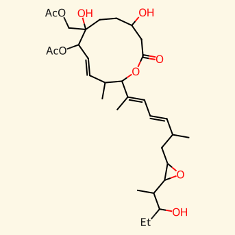 CCC(O)C(C)C1OC1CC(C)/C=C/C=C(\C)C1OC(=O)CC(O)CCC(O)(COC(C)=O)C(OC(C)=O)/C=C/C1C